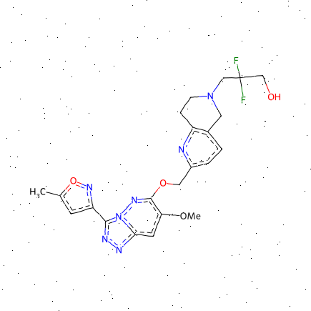 COc1cc2nnc(-c3cc(C)on3)n2nc1OCc1ccc2c(n1)CCN(CC(F)(F)CO)C2